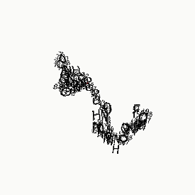 C[C@@H](C(=O)N[C@H](C(=O)N1Cc2cc(OCCOCCOCCOCCC(=O)NCCCn3c(CNc4cccc(C(=O)NCc5c(F)cccc5F)c4)nnc3-c3ccncn3)ccc2CC1C(=O)N[C@@H]1CCCc2ccccc21)C(C)(C)C)N(C)C(=O)OC(C)(C)C